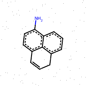 Nc1ccc2c3c(cccc13)CC=C2